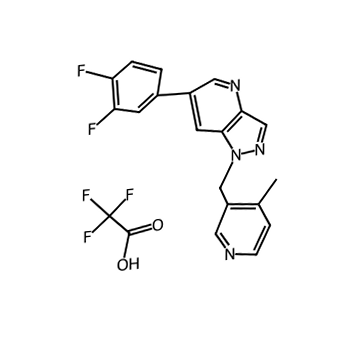 Cc1ccncc1Cn1ncc2ncc(-c3ccc(F)c(F)c3)cc21.O=C(O)C(F)(F)F